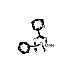 CCOP(=S)(OC(=NOC)c1ccccn1)c1ccccc1